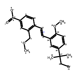 COCc1cc([N+](=O)[O-])ccc1/C=C/c1cc(C(C)(C)CBr)ccc1OC